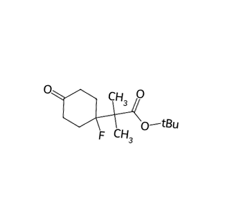 CC(C)(C)OC(=O)C(C)(C)C1(F)CCC(=O)CC1